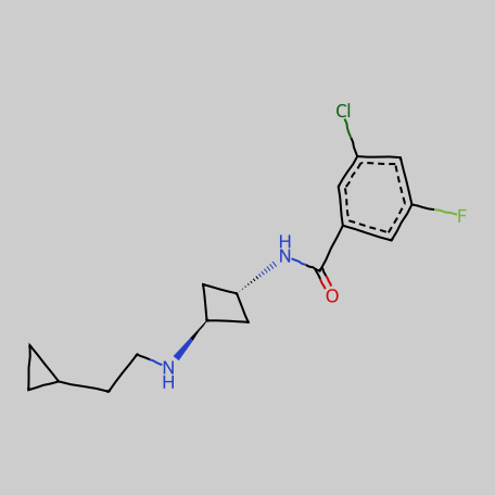 O=C(N[C@H]1C[C@H](NCCC2CC2)C1)c1cc(F)cc(Cl)c1